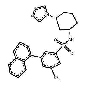 O=S(=O)(N[C@H]1CCC[C@@H](n2cnnc2)C1)c1cc(-c2cccc3ccccc23)cc(C(F)(F)F)c1